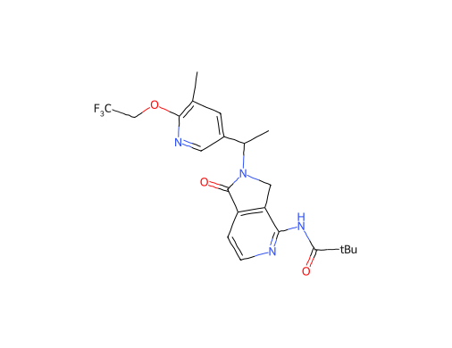 Cc1cc(C(C)N2Cc3c(ccnc3NC(=O)C(C)(C)C)C2=O)cnc1OCC(F)(F)F